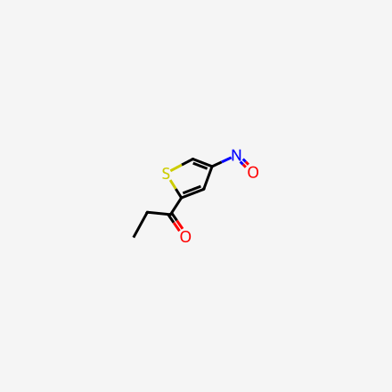 CCC(=O)c1cc(N=O)cs1